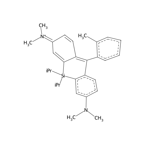 Cc1ccccc1C1=C2C=CC(=[N+](C)C)C=C2[Si](C(C)C)(C(C)C)c2cc(N(C)C)ccc21